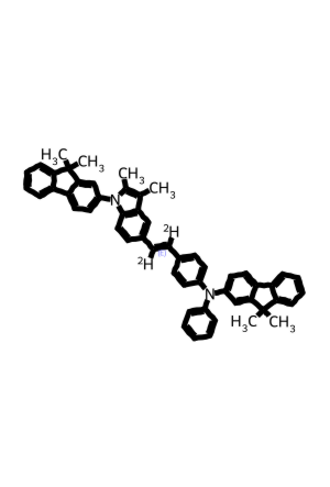 [2H]/C(=C(/[2H])c1ccc2c(c1)c(C)c(C)n2-c1ccc2c(c1)C(C)(C)c1ccccc1-2)c1ccc(N(c2ccccc2)c2ccc3c(c2)C(C)(C)c2ccccc2-3)cc1